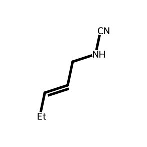 CC/C=C/CNC#N